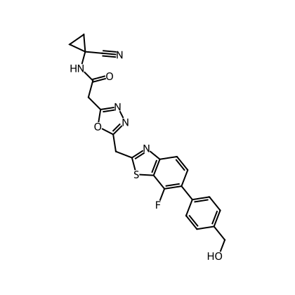 N#CC1(NC(=O)Cc2nnc(Cc3nc4ccc(-c5ccc(CO)cc5)c(F)c4s3)o2)CC1